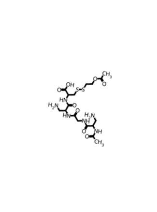 CC(=O)NC(CN)C(=O)NCC(=O)NC(CN)C(=O)NC(CSSCCOC(C)=O)C(=O)O